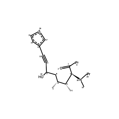 CC(C)C(=O)[C@H]([C@H](C)[C@H](C)CC(O)C#Cc1ccsc1)N(C)C(C)C